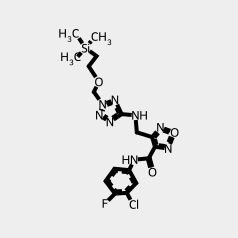 C[Si](C)(C)CCOCn1nnc(NCc2nonc2C(=O)Nc2ccc(F)c(Cl)c2)n1